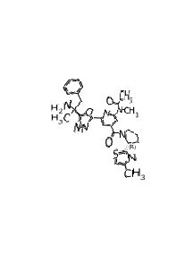 CC(=O)N(C)c1cc(C(=O)N2CCC[C@@H]2c2nc(C)cs2)cc(-c2nnc(C(C)(N)Cc3ccccc3)o2)n1